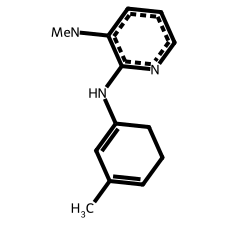 CNc1cccnc1NC1=CC(C)=CCC1